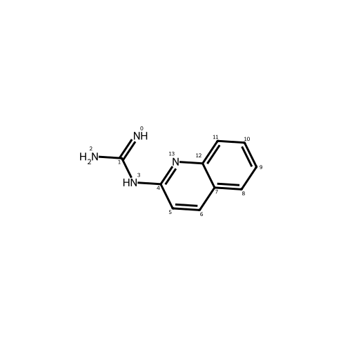 N=C(N)Nc1ccc2ccccc2n1